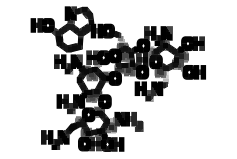 NC[C@@H]1O[C@H](O[C@H]2[C@@H](O)[C@H](O[C@@H]3[C@@H](O)[C@H](N)C[C@H](N)[C@H]3O[C@H]3O[C@H](CN)[C@@H](O)[C@H](O)[C@H]3N)O[C@@H]2CO)[C@H](N)[C@@H](O)[C@@H]1O.Oc1cccc2cccnc12